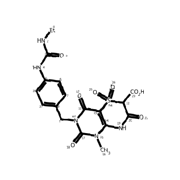 CCNC(=O)Nc1ccc(Cn2c(=O)c3c(n(C)c2=O)NC(=O)C(C(=O)O)S3(=O)=O)cc1